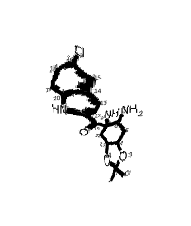 CC1(C)OC2CC(N)C(N)(C(=O)c3cc4cc(Cl)ccc4[nH]3)CC2O1